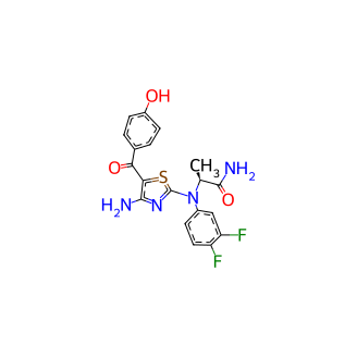 C[C@@H](C(N)=O)N(c1ccc(F)c(F)c1)c1nc(N)c(C(=O)c2ccc(O)cc2)s1